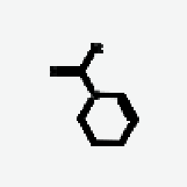 CCC(=S)N1C=CCCC1